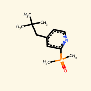 CC(C)(C)Cc1ccnc(P(C)(C)=O)c1